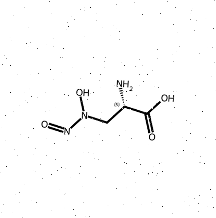 N[C@@H](CN(O)N=O)C(=O)O